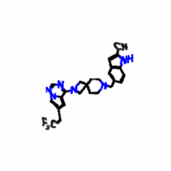 N#Cc1cc2cc(CN3CCC4(CC3)CN(c3ncnn5cc(CC(F)(F)F)cc35)C4)ccc2[nH]1